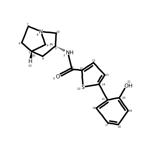 O=C(N[C@@H]1C[C@@H]2CCN(C2)C1)c1ccc(-c2ccccc2O)s1